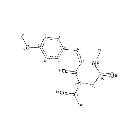 COc1ccc(/C=C2\C(=O)N(C(C)=O)CC(=O)N2C)cc1